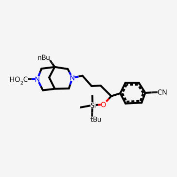 CCCCC12CC(CN(CCCC(O[Si](C)(C)C(C)(C)C)c3ccc(C#N)cc3)C1)CN(C(=O)O)C2